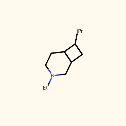 CCN1CCC2C(CC2C(C)C)C1